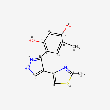 Cc1nc(-c2c[nH]nc2-c2cc(C)c(O)cc2O)cs1